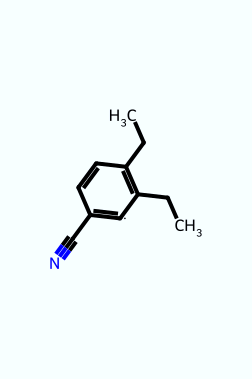 CCc1[c]c(C#N)ccc1CC